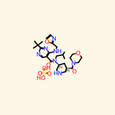 CC(C)CN(C(=O)c1cnc(C(C)(C)C)nc1NCc1ncco1)[C@@H]1CNC[C@H](C(=O)N2CCOCC2)C1.O=S(=O)(O)O